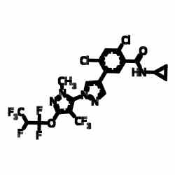 Cn1nc(OC(F)(F)C(F)C(F)(F)F)c(C(F)(F)F)c1-n1cc(-c2cc(C(=O)NC3CC3)c(Cl)cc2Cl)cn1